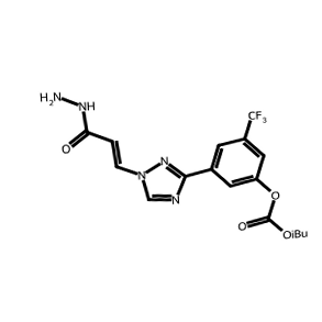 CC(C)COC(=O)Oc1cc(-c2ncn(C=CC(=O)NN)n2)cc(C(F)(F)F)c1